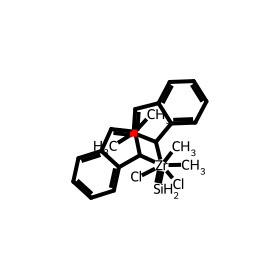 CC1=Cc2ccccc2[CH]1[Zr]([CH3])([CH3])(=[SiH2])([Cl])([Cl])[CH]1C(C)=Cc2ccccc21